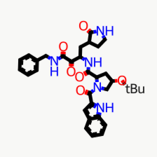 CC(C)(C)OC1CC(C(=O)NC(CC2CCNC2=O)C(=O)C(=O)NCc2ccccc2)N(C(=O)c2cc3ccccc3[nH]2)C1